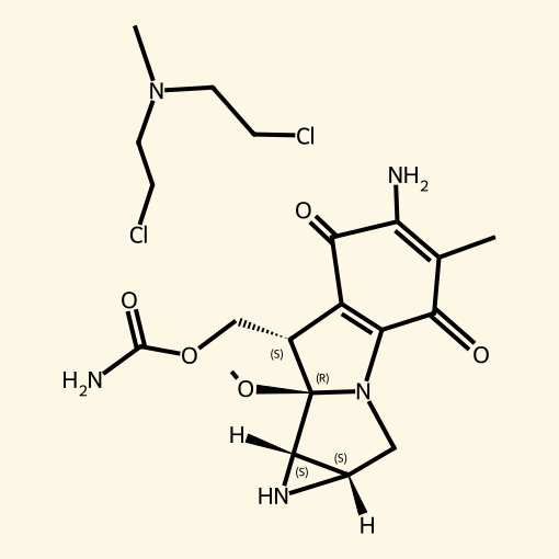 CN(CCCl)CCCl.CO[C@@]12[C@H](COC(N)=O)C3=C(C(=O)C(C)=C(N)C3=O)N1C[C@@H]1N[C@@H]12